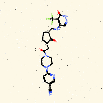 N#Cc1ccc(N2CCN(C(=O)C[C@H]3CC[C@@H](CNc4cn[nH]c(=O)c4C(F)(F)F)C3=O)CC2)nc1